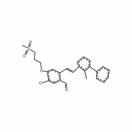 Cc1c(/C=C/c2cc(OCCCS(C)(=O)=O)c(Cl)cc2C=O)cccc1-c1ccccc1